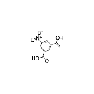 C=C(O)c1cc(C(=O)O)cc([N+](=O)[O-])c1